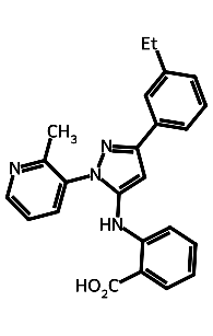 CCc1cccc(-c2cc(Nc3ccccc3C(=O)O)n(-c3cccnc3C)n2)c1